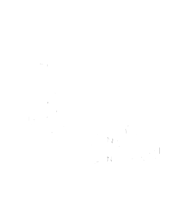 CCCCCOC(C)CCCC=Cc1cnc(-c2ccc(O)cc2F)nc1